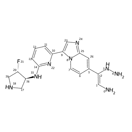 N/C=C(\NN)c1ccn2c(-c3cccc(N[C@H]4CNC[C@@H]4F)n3)cnc2c1